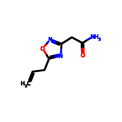 C=CCc1nc(CC(N)=O)no1